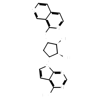 Cc1ncnc2c1ccn2[C@@H]1C[C@H](Oc2nccc3ccncc23)[C@@H](O)[C@H]1O